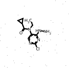 CCN(C(=O)C1CC1)c1cnc(Cl)nc1NN